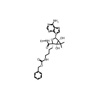 CCNC(=O)[C@@]1(CCCCNC(=O)OCc2ccccc2)O[C@@H](n2cnc3c(N)ncnc32)[C@@]2(O)C(C)(C)[C@]21O